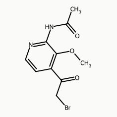 COc1c(C(=O)CBr)ccnc1NC(C)=O